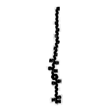 O=C(CCCCCCC(=O)Nc1ccc(CNC(=O)CCC(=O)NCCOCCOCCOCCOCCOCCOCCCCCCCl)cc1)NO